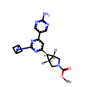 CC(C)(C)OC(=O)N1C[C@@H]2[C@H](C1)[C@H]2c1cc(-c2cnc(N)nc2)nc(N2CC3CC2C3)n1